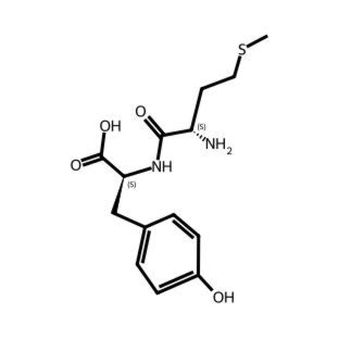 CSCC[C@H](N)C(=O)N[C@@H](Cc1ccc(O)cc1)C(=O)O